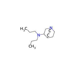 CCCN(CCC)C1CN2CCC1CC2